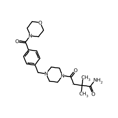 CC(C)([CH]C(=O)N1CCN(Cc2ccc(C(=O)N3CCOCC3)cc2)CC1)C(N)=O